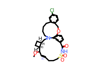 COC1/C=C/CCCS(=O)(=O)NC(=O)c2ccc3c(c2)N(CCCCc2cc(Cl)ccc2CO3)C[C@@H]2CC[C@@H]12